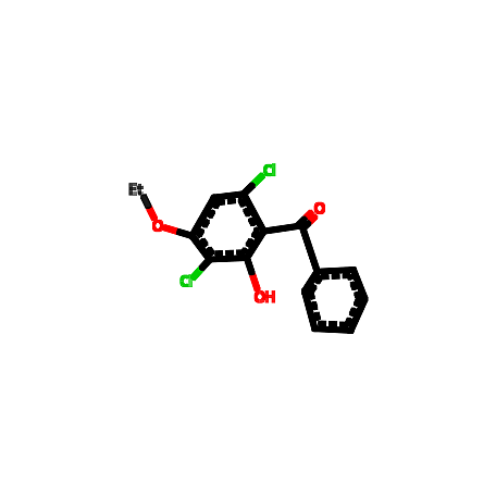 CCOc1cc(Cl)c(C(=O)c2ccccc2)c(O)c1Cl